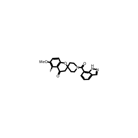 COc1ccc2c(c1F)C(=O)CC1(CCN(C(=O)c3cccc4cn[nH]c34)CC1)O2